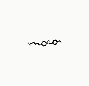 CCc1ccc(CO[C@H]2CC[C@H](C=CC=CC#N)CC2)cc1